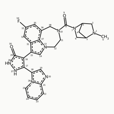 CN1CC2CC1CN2C(=O)N1CCn2cc(-c3c(-c4cnc5ccccn45)[nH][nH]c3=O)c3cc(F)cc(c32)C1